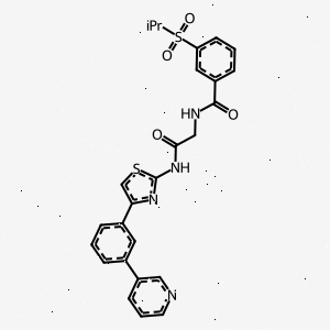 CC(C)S(=O)(=O)c1cccc(C(=O)NCC(=O)Nc2nc(-c3cccc(-c4cccnc4)c3)cs2)c1